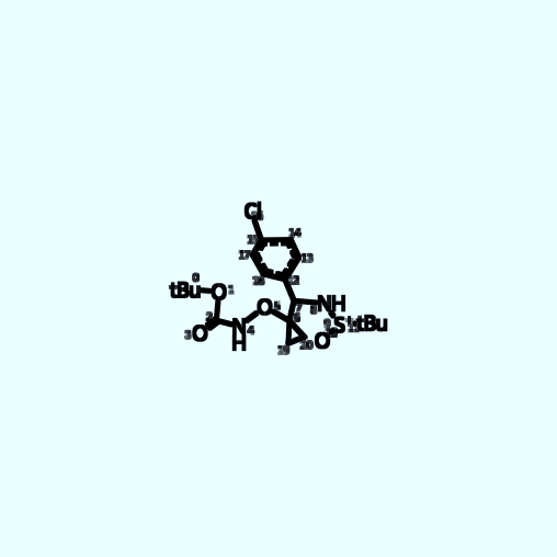 CC(C)(C)OC(=O)NOC1(C(N[S+]([O-])C(C)(C)C)c2ccc(Cl)cc2)CC1